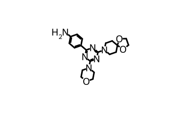 Nc1ccc(-c2nc(N3CCOCC3)nc(N3CCC4(CC3)OCCO4)n2)cc1